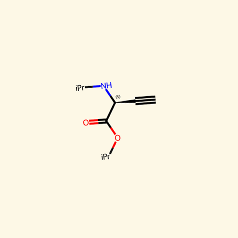 C#C[C@H](NC(C)C)C(=O)OC(C)C